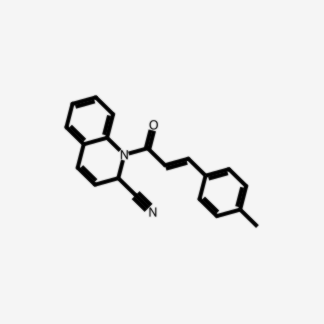 Cc1ccc(C=CC(=O)N2c3ccccc3C=CC2C#N)cc1